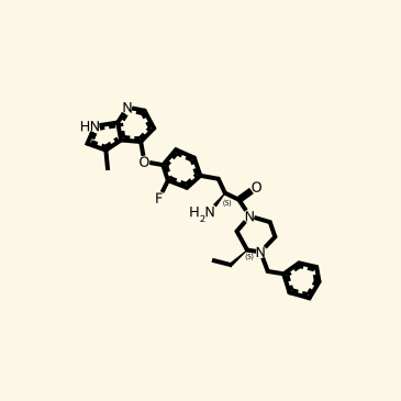 CC[C@H]1CN(C(=O)[C@@H](N)Cc2ccc(Oc3ccnc4[nH]cc(C)c34)c(F)c2)CCN1Cc1ccccc1